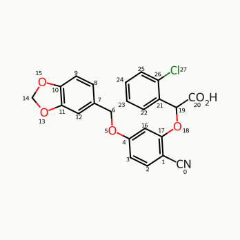 N#Cc1ccc(OCc2ccc3c(c2)OCO3)cc1OC(C(=O)O)c1ccccc1Cl